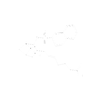 CC1(C)C2CC(CC=CCCCC(=O)O)C(NS(=O)(=O)c3ccc4ccccc4c3)C1C2